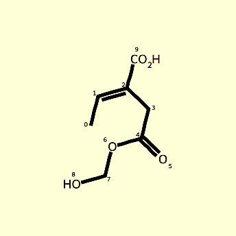 CC=C(CC(=O)OCO)C(=O)O